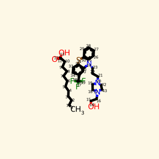 CCCCCCCCCCCC(=O)O.OCCN1CCN(CCCN2c3ccccc3Sc3ccc(C(F)(F)F)cc32)CC1